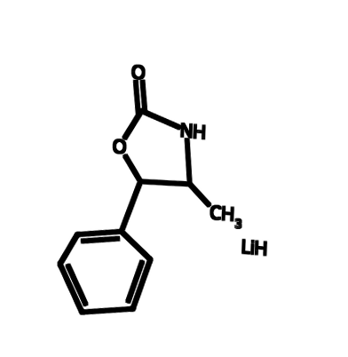 CC1NC(=O)OC1c1ccccc1.[LiH]